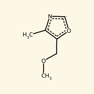 COCc1o[c]nc1C